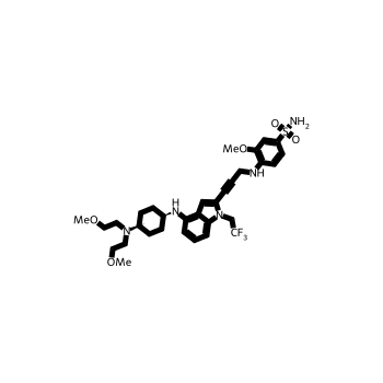 COCCN(CCOC)[C@H]1CC[C@H](Nc2cccc3c2cc(C#CCNc2ccc(S(N)(=O)=O)cc2OC)n3CC(F)(F)F)CC1